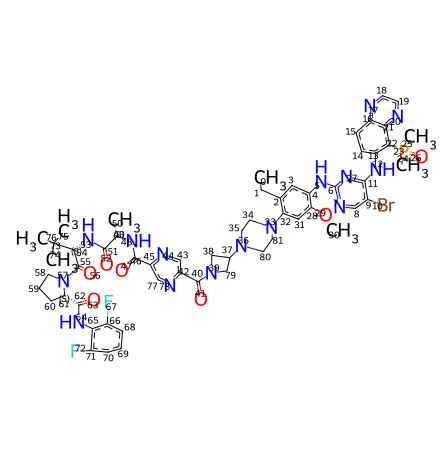 CCc1cc(Nc2ncc(Br)c(Nc3ccc4nccnc4c3P(C)(C)=O)n2)c(OC)cc1N1CCN(C2CN(C(=O)c3cnc(C(=O)N[C@@H](C)C(=O)N[C@H](C(=O)N4CCC[C@H]4C(=O)Nc4c(F)cccc4F)C(C)(C)C)cn3)C2)CC1